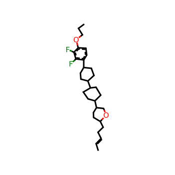 C/C=C/CCC1CCC(C2CCC(C3CCC(c4ccc(OCCC)c(F)c4F)CC3)CC2)CO1